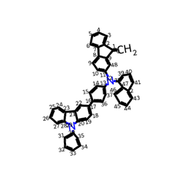 C=C1c2ccccc2-c2ccc(N(c3ccc(-c4ccc5c(c4)c4ccccc4n5-c4ccccc4)cc3)c3cccc4ccccc34)cc21